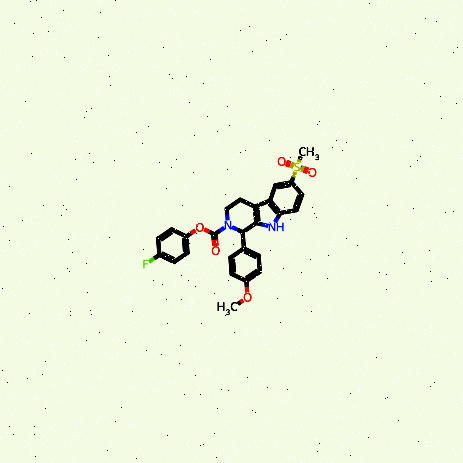 COc1ccc(C2c3[nH]c4ccc(S(C)(=O)=O)cc4c3CCN2C(=O)Oc2ccc(F)cc2)cc1